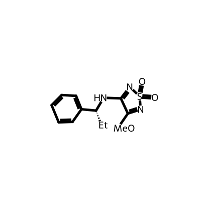 CC[C@@H](NC1=NS(=O)(=O)N=C1OC)c1ccccc1